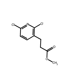 COC(=O)CCc1ccc(Cl)nc1Cl